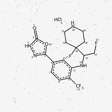 Cl.O=c1[nH]nc(-c2ccc(C(F)(F)F)c(NC(CF)C3(F)CCNCC3)c2)o1